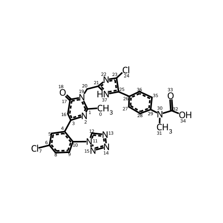 Cc1nc(-c2cc(Cl)ccc2-n2cnnn2)cc(=O)n1Cc1nc(Cl)c(-c2ccc(N(C)C(=O)O)cc2)[nH]1